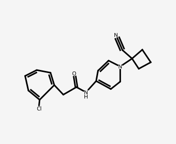 N#CC1(N2C=CC(NC(=O)Cc3ccccc3Cl)=CC2)CCC1